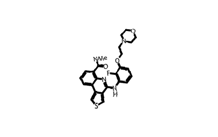 CNC(=O)c1cccc2c1nc(Nc1cccc(OCCN3CCOCC3)c1F)c1cscc12